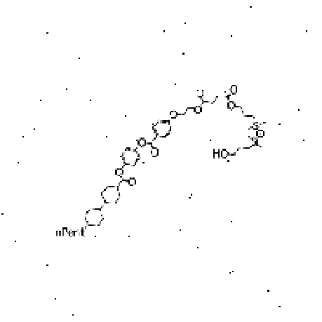 CCCCCC1CCC(C2CCC(C(=O)Oc3ccc(OC(=O)c4ccc(OCCOC(=O)CCC(=O)OCCC[Si](C)(C)O[Si](C)(C)CCCO)cc4)cc3)CC2)CC1